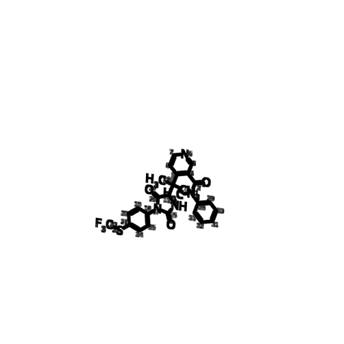 CN(C(=O)c1cnccc1C(C)(C)C1NC(=O)N(c2ccc(SC(F)(F)F)cc2)C1=O)c1ccccc1